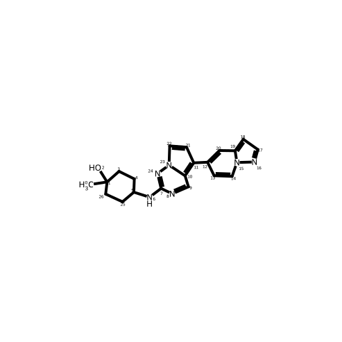 CC1(O)CCC(Nc2ncc3c(-c4ccn5nccc5c4)ccn3n2)CC1